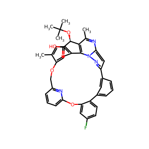 Cc1ccc2cc1OCc1cccc(n1)Oc1cc(F)ccc1-c1cccc(c1)-c1cc3nc(C)c([C@H](OC(C)(C)C)C(=O)O)c-2n3n1